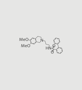 COc1cc2c(cc1OC)CN(CCCNS(=O)(=O)c1ccccc1-c1ccccc1)CC2